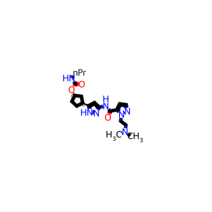 CCCNC(=O)O[C@@H]1CC[C@H](c2cc(NC(=O)c3ccnn3CCN(C)C)n[nH]2)C1